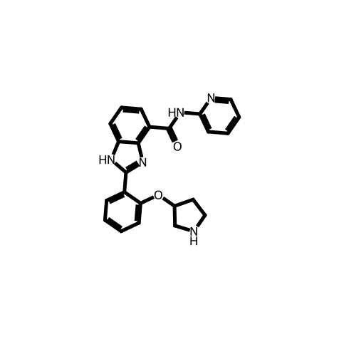 O=C(Nc1ccccn1)c1cccc2[nH]c(-c3ccccc3OC3CCNC3)nc12